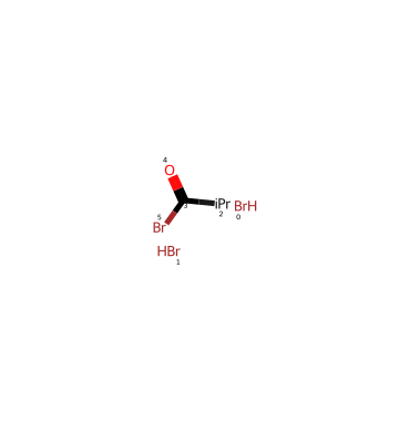 Br.Br.CC(C)C(=O)Br